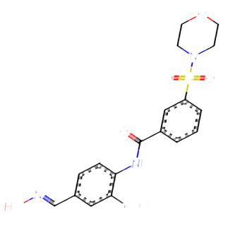 O=C(Nc1ccc(/C=N/O)cc1C(=O)O)c1cccc(S(=O)(=O)N2CCOCC2)c1